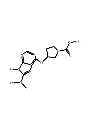 CCn1c(N(C)C(C)C)nc2c(OC3CCN(C(=O)OC(C)(C)C)C3)ncnc21